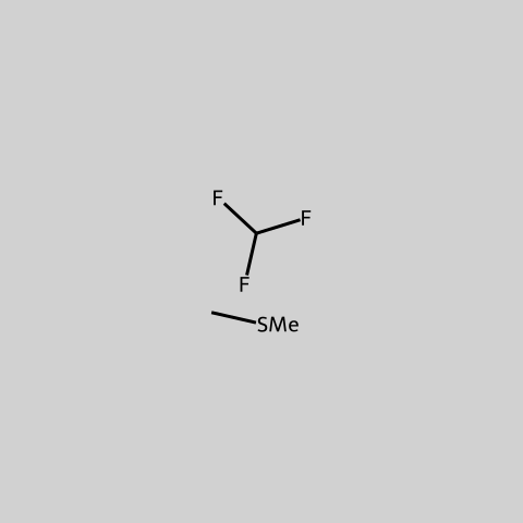 CSC.FC(F)F